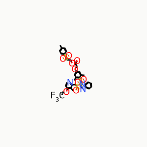 Cc1ccc(S(=O)(=O)CCOC(=O)COc2cc(C)c(S(=O)(=O)n3c([S+]([O-])Cc4nccc(OCC(F)(F)F)c4C)nc4ccccc43)c(C)c2)cc1